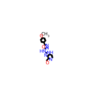 COc1ccc(-c2nnc(Nc3nc4c(C=O)nccc4[nH]3)o2)cc1